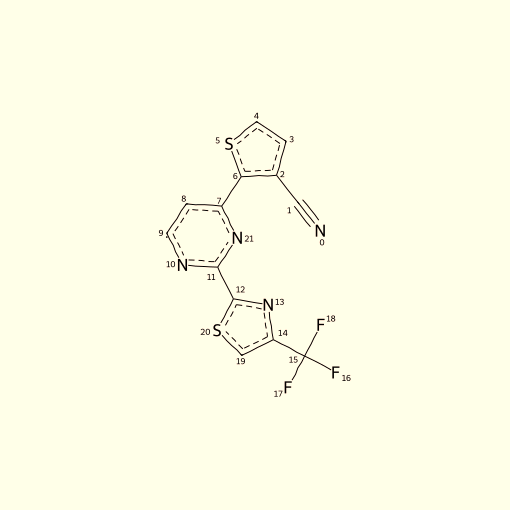 N#Cc1ccsc1-c1c[c]nc(-c2nc(C(F)(F)F)cs2)n1